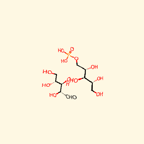 O=C[C@H](O)[C@H](O)[C@H](O)CO.O=P(O)(O)OC[C@H](O)[C@H](O)[C@H](O)CO